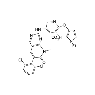 CCn1ccc(Oc2ncc(Nc3ncc4cc(-c5c(Cl)cccc5Cl)c(=O)n(C)c4n3)cc2C(=O)O)n1